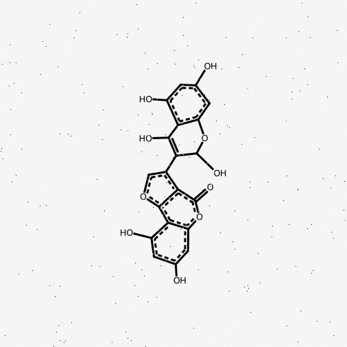 O=c1oc2cc(O)cc(O)c2c2occ(C3=C(O)c4c(O)cc(O)cc4OC3O)c12